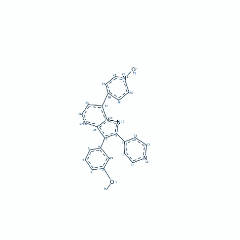 COc1cccc(-c2c(-c3ccncc3)nn3c(-c4cc[n+]([O-])cc4)ccnc23)c1